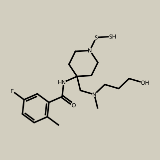 Cc1ccc(F)cc1C(=O)NC1(CN(C)CCCO)CCN(SS)CC1